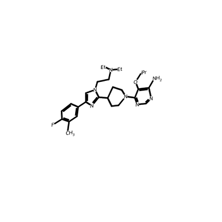 CCN(CC)CCn1cc(-c2ccc(F)c(C)c2)nc1C1CCN(c2ncnc(N)c2OC(C)C)CC1